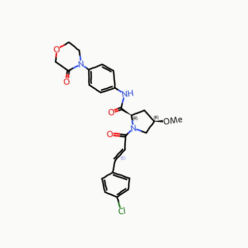 CO[C@@H]1C[C@H](C(=O)Nc2ccc(N3CCOCC3=O)cc2)N(C(=O)/C=C/c2ccc(Cl)cc2)C1